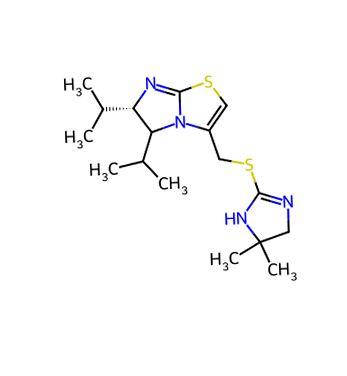 CC(C)C1[C@H](C(C)C)N=C2SC=C(CSC3=NCC(C)(C)N3)N21